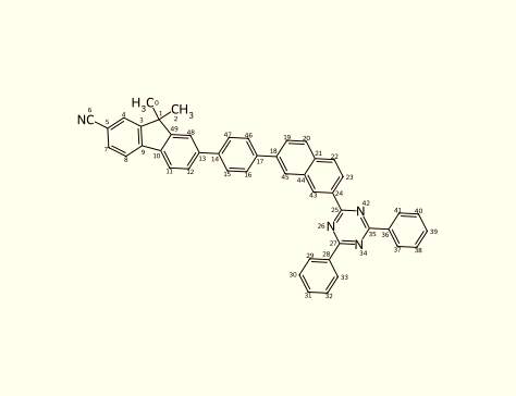 CC1(C)c2cc(C#N)ccc2-c2ccc(-c3ccc(-c4ccc5ccc(-c6nc(-c7ccccc7)nc(-c7ccccc7)n6)cc5c4)cc3)cc21